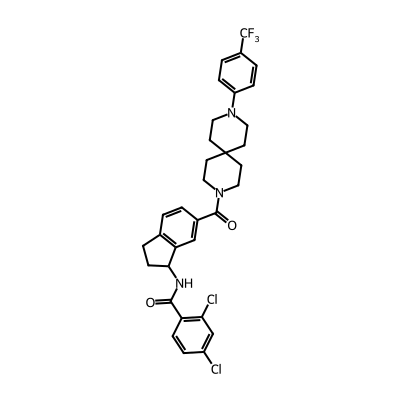 O=C(NC1CCc2ccc(C(=O)N3CCC4(CC3)CCN(c3ccc(C(F)(F)F)cc3)CC4)cc21)c1ccc(Cl)cc1Cl